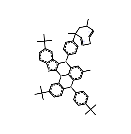 Cc1cc2c3c(c1)N(c1ccc(C4(C)/C=C/C/C=C/C(C)C4)cc1)c1c(sc4ccc(C(C)(C)C)cc14)B3c1cc(C(C)(C)C)ccc1N2c1ccc(C(C)(C)C)cc1